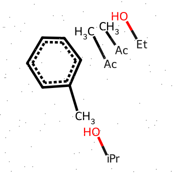 CC(C)=O.CC(C)=O.CC(C)O.CCO.Cc1ccccc1